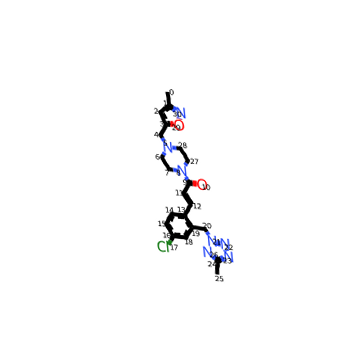 Cc1cc(CN2CCN(C(=O)C=Cc3ccc(Cl)cc3Cn3nnc(C)n3)CC2)on1